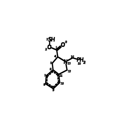 O=C(OS)C1Cc2ccccc2CN1CP